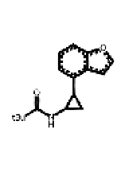 CC(C)(C)C(=O)NC1CC1c1cccc2occc12